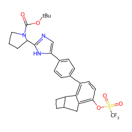 CC(C)(C)OC(=O)N1CCCC1c1ncc(-c2ccc(-c3ccc(OS(=O)(=O)C(F)(F)F)c4c3C3CCC3C4)cc2)[nH]1